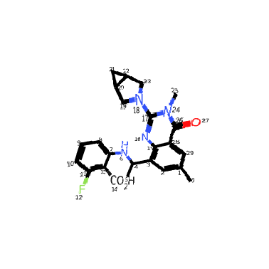 Cc1cc(C(C)Nc2cccc(F)c2C(=O)O)c2nc(N3CC4CC4C3)n(C)c(=O)c2c1